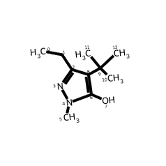 CCc1nn(C)c(O)c1C(C)(C)C